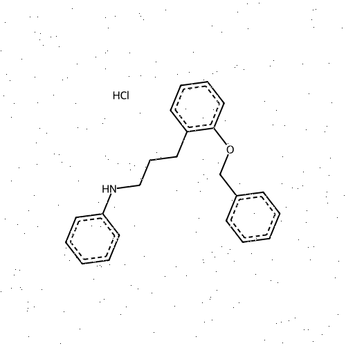 Cl.c1ccc(COc2ccccc2CCCNc2ccccc2)cc1